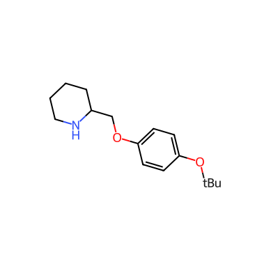 CC(C)(C)Oc1ccc(OCC2CCCCN2)cc1